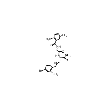 Cc1cc(Br)ccc1CNC[C@H](NC(=O)CNC(=O)c1cc(C(F)(F)F)ccc1N)C(N)=O